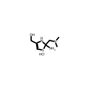 CN(C)CC1(N)NC(CO)=CS1.Cl